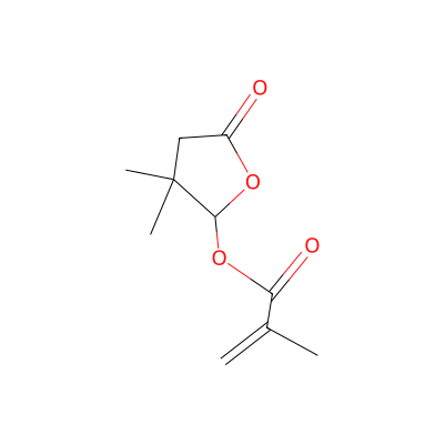 C=C(C)C(=O)OC1OC(=O)CC1(C)C